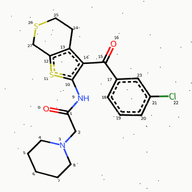 O=C(CN1CCCCC1)Nc1sc2c(c1C(=O)c1cccc(Cl)c1)CCSC2